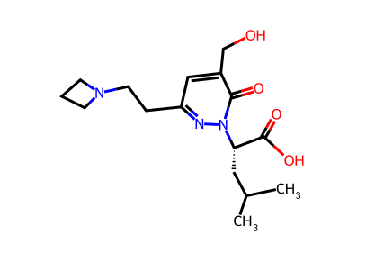 CC(C)C[C@@H](C(=O)O)n1nc(CCN2CCC2)cc(CO)c1=O